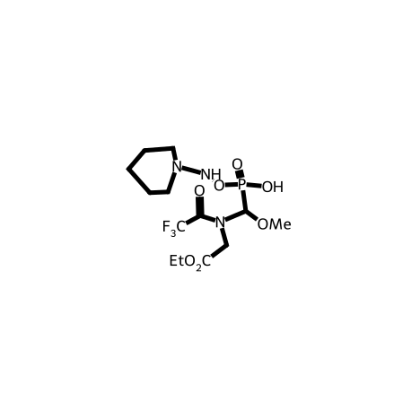 CCOC(=O)CN(C(=O)C(F)(F)F)C(OC)P(=O)(O)ONN1CCCCC1